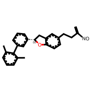 C=C(CCc1ccc2c(c1)C[C@@H](c1cccc(-c3c(C)cccc3C)c1)O2)N=O